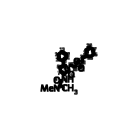 CN[C@@H](C)C(=O)Nc1ccc(-c2ccccc2)n(CCS(=O)(=O)CCc2ccccc2)c1=O